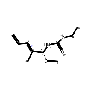 C=C/C=C(\C)[C@@H](CC)NC(=O)OCC